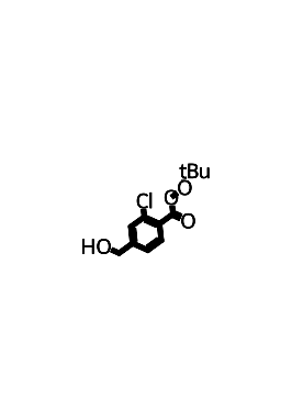 CC(C)(C)OOC(=O)c1ccc(CO)cc1Cl